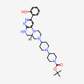 CC(C)(C)OC(=O)N1CCC(N2CCC(N3CCN4c5cc(-c6ccccc6O)nnc5NC[C@H]4C3)CC2)CC1